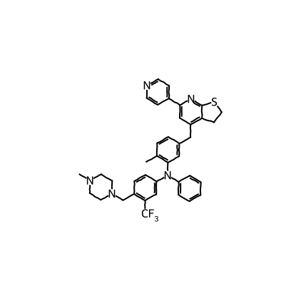 Cc1ccc(Cc2cc(-c3ccncc3)nc3c2CCS3)cc1N(c1ccccc1)c1ccc(CN2CCN(C)CC2)c(C(F)(F)F)c1